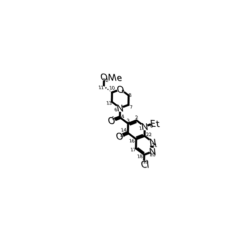 CCn1cc(C(=O)N2CCO[C@@H](COC)C2)c(=O)c2cc(Cl)nnc21